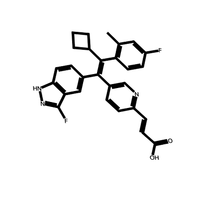 Cc1cc(F)ccc1/C(=C(\c1ccc(/C=C/C(=O)O)nc1)c1ccc2[nH]nc(F)c2c1)C1CCC1